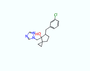 OC1(Cn2cncn2)C(Cc2cccc(Cl)c2)CCC12CC2